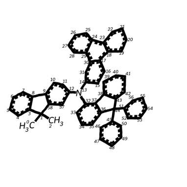 CC1(C)c2ccccc2-c2ccc(N(c3ccc4c5ccccc5c5ccccc5c4c3)c3cccc4c3-c3ccccc3C4(c3ccccc3)c3ccccc3)cc21